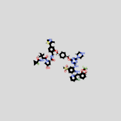 Cc1ncsc1-c1ccc(CNC(=O)[C@@H]2C[C@@H](O)CN2C(=O)[C@@H](NC(=O)C2(F)CC2)C(C)(C)C)c(OC[C@H]2CC[C@H](COc3nc(Nc4cc(S(C)(=O)=O)ccc4N[C@@H](c4cccc5c4OC(F)(F)O5)c4ncccc4Cl)nc(N4CCNCC4)n3)CC2)c1